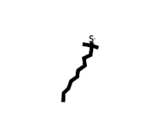 CCCCCCCCCC(C)(C)[S]